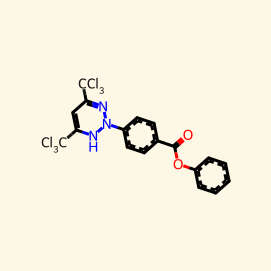 O=C(Oc1ccccc1)c1ccc(N2N=C(C(Cl)(Cl)Cl)C=C(C(Cl)(Cl)Cl)N2)cc1